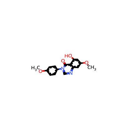 COc1ccc(-n2cnc3cc(OC)cc(O)c3c2=O)cc1